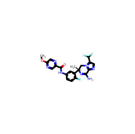 COc1cnc(C(=O)Nc2ccc(F)c([C@]3(C)Cn4c(C(F)F)cnc4C(N)=N3)c2)cn1